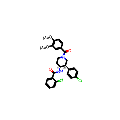 COc1ccc(C(=O)N2CC[C@H](NC(=O)c3ccccc3Cl)[C@H](c3ccc(Cl)cc3)C2)cc1OC